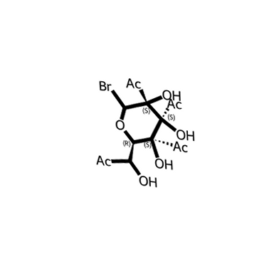 CC(=O)C(O)[C@H]1OC(Br)[C@@](O)(C(C)=O)[C@](O)(C(C)=O)[C@]1(O)C(C)=O